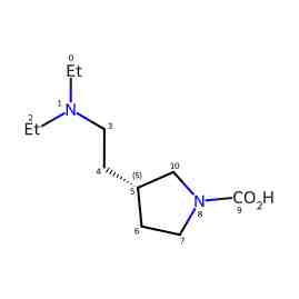 CCN(CC)CC[C@H]1CCN(C(=O)O)C1